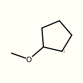 COC1[C]CCC1